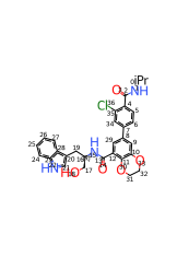 CC(C)NC(=O)c1ccc(-c2cc3c(c(C(=O)N[C@@H](CO)Cc4c[nH]c5ccccc45)c2)OCCO3)cc1Cl